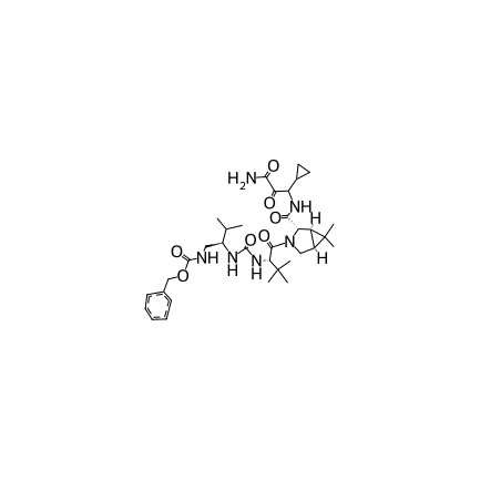 CC(C)[C@H](CNC(=O)OCc1ccccc1)NC(=O)N[C@H](C(=O)N1C[C@H]2[C@@H]([C@H]1C(=O)NC(C(=O)C(N)=O)C1CC1)C2(C)C)C(C)(C)C